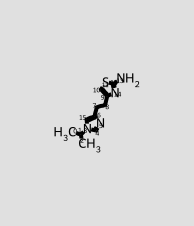 CC(C)n1cnc(CCc2csc(N)n2)c1